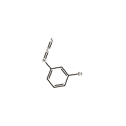 C[CH]c1cccc(N=C=S)c1